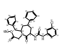 CC(C)(C)OC(=O)CN1C(=O)C(NC(=O)Nc2cccc(Cl)c2)CC(c2ccccc2)CC1Cc1ccccc1